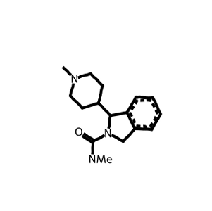 CNC(=O)N1Cc2ccccc2C1C1CCN(C)CC1